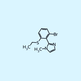 CCSc1cccc(Br)c1-c1nccn1C